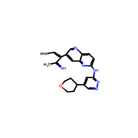 CN/C=C(\C(C)=N)c1cnc2ccc(Nc3cc(C4CCOCC4)cnn3)nc2c1